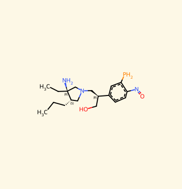 CCC[C@H]1CN(C[C@H](CO)c2ccc(N=O)c(P)c2)C[C@@]1(N)CC